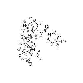 CC(C)C1=C2[C@H]3CC[C@@H]4[C@@]5(C)C(NC(=O)N6CCC(F)(F)CC6)CCC(C)(C)[C@@H]5CC[C@@]4(C)[C@]3(C)CC[C@@]2(C)CC1=O